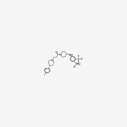 Cc1ccc(C2CCN(CCC(=O)N3CCC(Nc4ccc([N+](=O)[O-])c(C(F)(F)F)c4)CC3)CC2)cc1